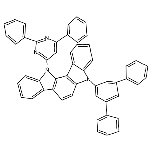 c1ccc(-c2cc(-c3ccccc3)cc(-n3c4ccccc4c4c3ccc3c5ccccc5n(-c5cc(-c6ccccc6)nc(-c6ccccc6)n5)c34)c2)cc1